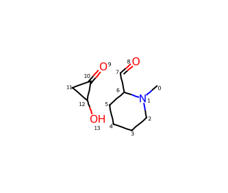 CN1CCCCC1C=O.O=C1CC1O